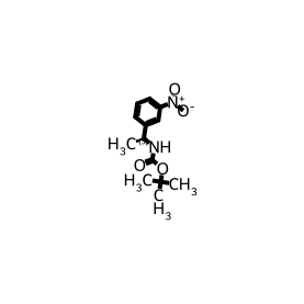 C[C@H](NC(=O)OC(C)(C)C)c1cccc([N+](=O)[O-])c1